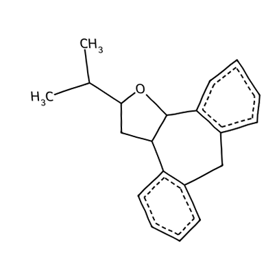 CC(C)C1CC2c3ccccc3Cc3ccccc3C2O1